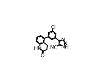 N#Cc1[nH]nnc1-c1cc(Cl)cc(-c2cccc3c2CCC(=O)N3)c1